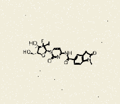 CN1C(=O)Cc2cc(C(=O)Nc3ccn(C4O[C@H](CO)[C@@H](O)C4(F)I)c(=O)n3)ccc21